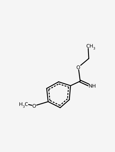 CCOC(=N)c1ccc(OC)cc1